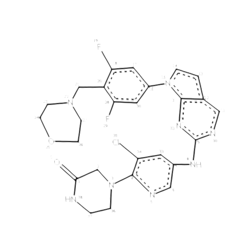 O=C1CN(c2ncc(Nc3ncc4ccn(-c5cc(F)c(CN6CCOCC6)c(F)c5)c4n3)cc2Cl)CCN1